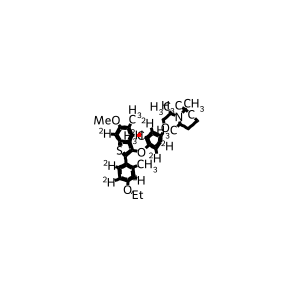 [2H]c1c([2H])c(Oc2c(-c3c([2H])c([2H])c(OCC)c([2H])c3C)sc3c([2H])c(OC)c(C)c([2H])c23)c(C)c([2H])c1OCC(C)N1C(C)CCCC1(C)C